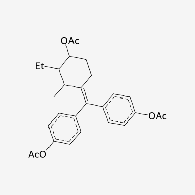 CCC1C(OC(C)=O)CCC(=C(c2ccc(OC(C)=O)cc2)c2ccc(OC(C)=O)cc2)C1C